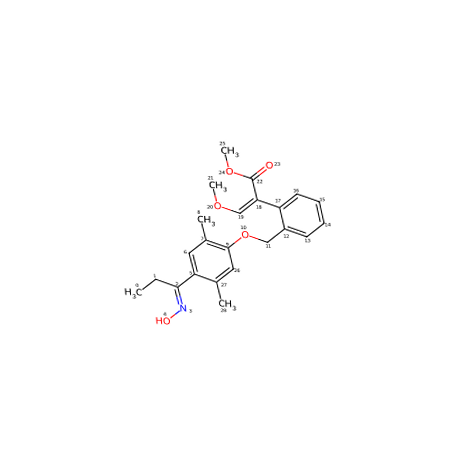 CCC(=NO)c1cc(C)c(OCc2ccccc2C(=COC)C(=O)OC)cc1C